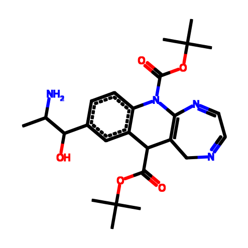 CC(N)C(O)c1ccc2c(c1)C(C(=O)OC(C)(C)C)C1=C(N=CC=NC1)N2C(=O)OC(C)(C)C